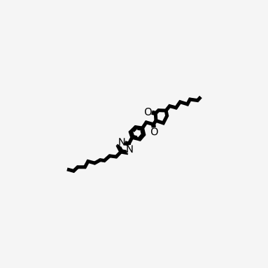 CCCCCCCCCCc1cnc(-c2ccc(CC(=O)C3CCC(CCCCCCC)CC3=O)cc2)nc1